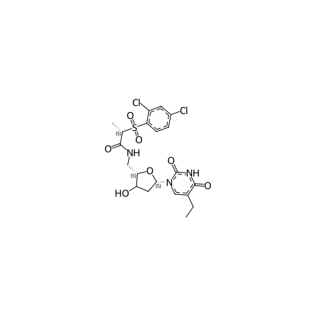 CCc1cn([C@@H]2CC(O)[C@H](CNC(=O)[C@H](C)S(=O)(=O)c3ccc(Cl)cc3Cl)O2)c(=O)[nH]c1=O